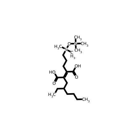 CCCCC(CC)CC(C(=O)O)=C(CCC[Si](C)(C)O[Si](C)(C)C)C(=O)O